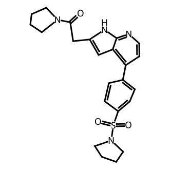 O=C(Cc1cc2c(-c3ccc(S(=O)(=O)N4CCCC4)cc3)ccnc2[nH]1)N1CCCC1